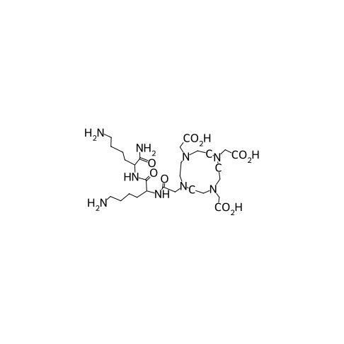 NCCCCC(NC(=O)C(CCCCN)NC(=O)CN1CCN(CC(=O)O)CCN(CC(=O)O)CCN(CC(=O)O)CC1)C(N)=O